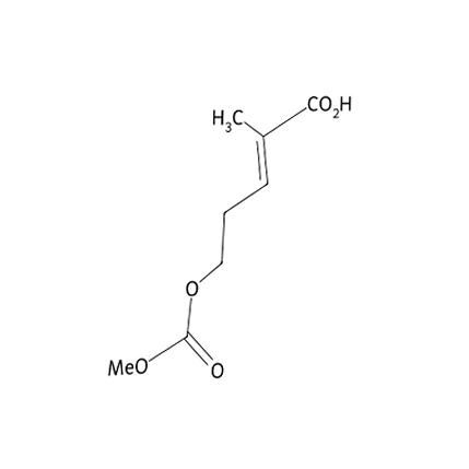 COC(=O)OCCC=C(C)C(=O)O